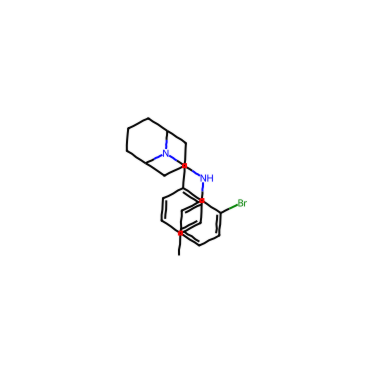 Cc1ccc(CN2C3CCCC2CC(Nc2ccccc2Br)C3)cc1